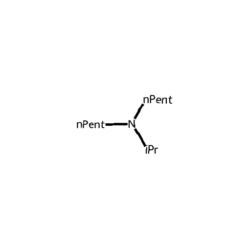 CCCCCN(CCCCC)C(C)C